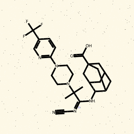 CC(C)(/C(=N\C#N)NC1C2CC3CC1CC(C(=O)O)(C3)C2)N1CCN(c2ccc(C(F)(F)F)cn2)CC1